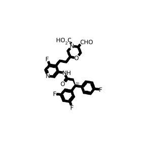 O=CC1COC(CCc2c(F)cncc2NC(=O)C[C@@H](c2ccc(F)cc2)c2cc(F)cc(F)c2)CN1C(=O)O